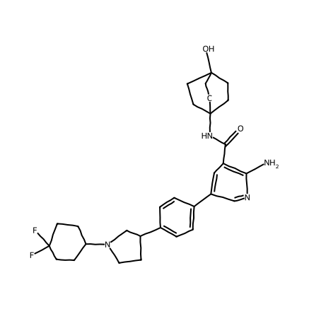 Nc1ncc(-c2ccc(C3CCN(C4CCC(F)(F)CC4)C3)cc2)cc1C(=O)NC12CCC(O)(CC1)CC2